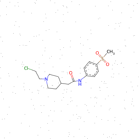 CS(=O)(=O)c1ccc(NC(=O)CC2CCN(CCCl)CC2)cc1